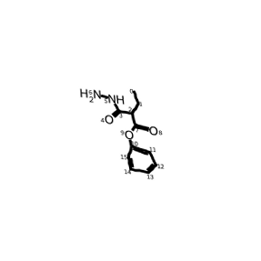 CCC(C(=O)NN)C(=O)Oc1ccccc1